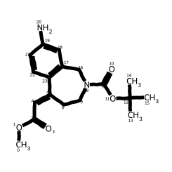 COC(=O)C=C1CCN(C(=O)OC(C)(C)C)Cc2cc(N)ccc21